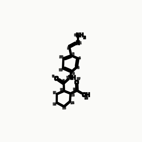 NN=Cc1ccc(NC(=O)C2CCCCC2C(=O)O)cc1